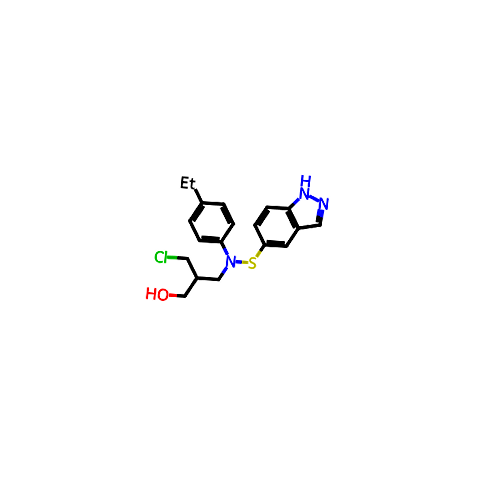 CCc1ccc(N(CC(CO)CCl)Sc2ccc3[nH]ncc3c2)cc1